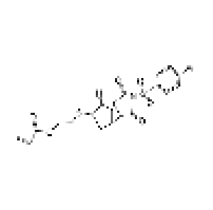 C=CC(=O)OCCSC1CC2C[C@H]1C1C(=O)N(S(=O)(=O)c3ccc(CC)cc3)C(=O)C21